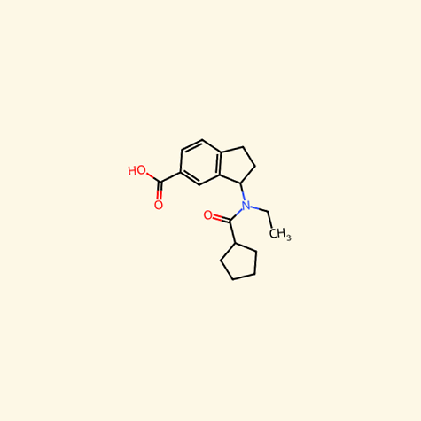 CCN(C(=O)C1CCCC1)C1CCc2ccc(C(=O)O)cc21